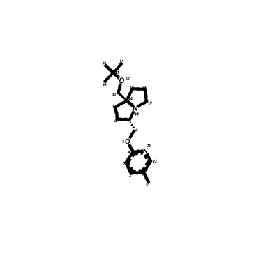 Cc1ccc(OC[C@@H]2CC[C@]3(COC(C)(C)C)CCCN23)nc1